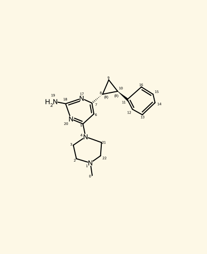 CN1CCN(c2cc([C@@H]3C[C@H]3c3ccccc3)nc(N)n2)CC1